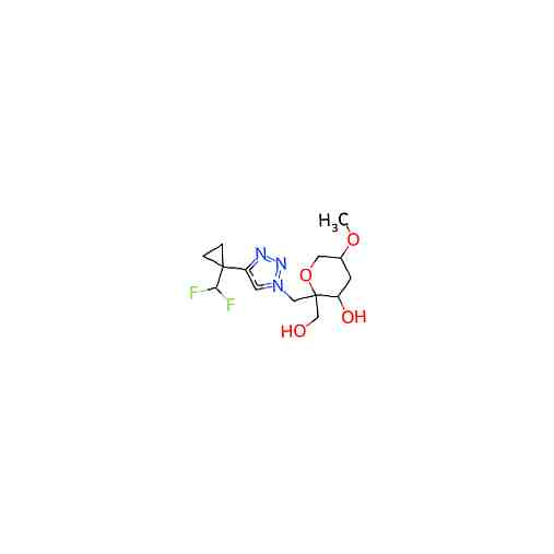 COC1COC(CO)(Cn2cc(C3(C(F)F)CC3)nn2)C(O)C1